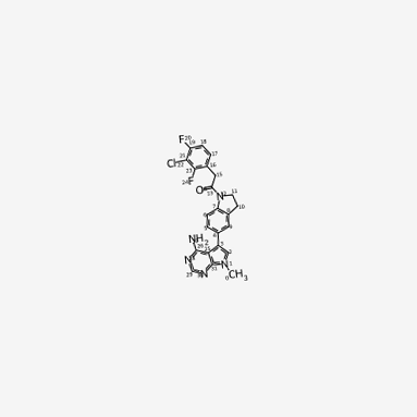 Cn1cc(-c2ccc3c(c2)CCN3C(=O)Cc2ccc(F)c(Cl)c2F)c2c(N)ncnc21